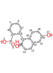 O=C(O)c1ccccc1-c1c(O)ccc2cc(O)ccc12